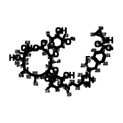 CO[C@]1(C)C[C@H](O[C@H]2[C@H](C)[C@@H](O[C@@H]3O[C@H](C)C[C@H](N(C)CCc4cn([C@H](CF)Cc5ccc(S(=O)(=O)NC6CC6)cc5)nn4)[C@H]3O)[C@](C)(O)C[C@@H](C)CN(C)[C@H](C)[C@@H](O)[C@](C)(O)[C@@H](C)OC(=O)[C@@H]2C)O[C@@H](C)[C@@H]1O